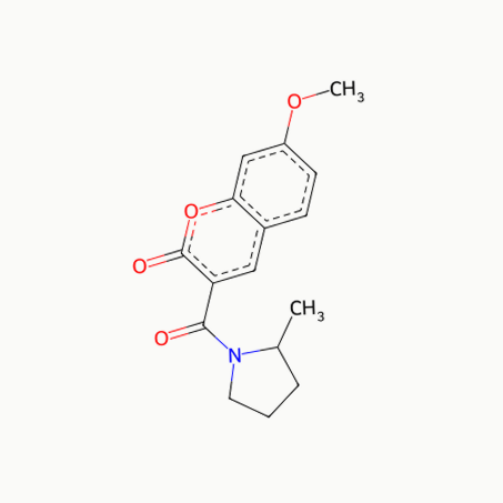 COc1ccc2cc(C(=O)N3CCCC3C)c(=O)oc2c1